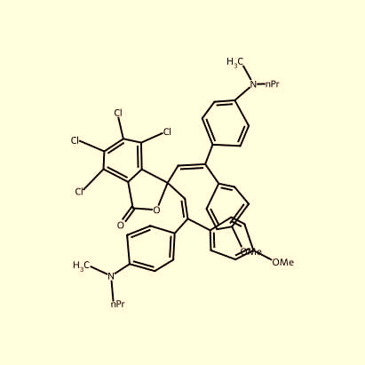 CCCN(C)c1ccc(C(=CC2(C=C(c3ccc(OC)cc3)c3ccc(N(C)CCC)cc3)OC(=O)c3c(Cl)c(Cl)c(Cl)c(Cl)c32)c2ccc(OC)cc2)cc1